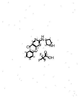 Clc1cnc(N[C@@H]2CCNC2)nc1Oc1ccccc1.O=C(O)C(F)(F)F